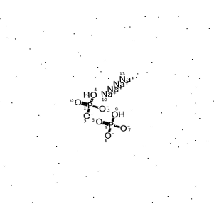 O=P([O-])([O-])O.O=P([O-])([O-])O.[Na+].[Na+].[Na+].[Na+]